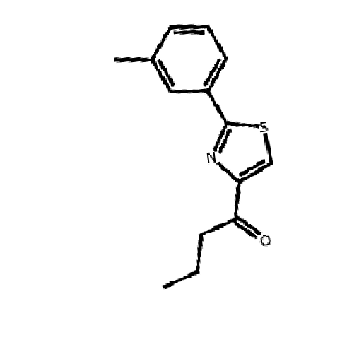 CCCC(=O)c1csc(-c2cccc(C)c2)n1